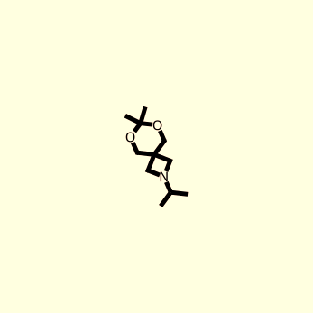 CC(C)N1CC2(COC(C)(C)OC2)C1